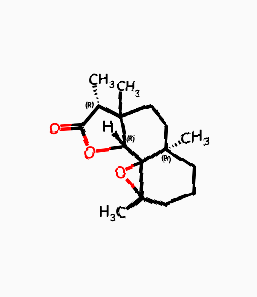 C[C@H]1C(=O)O[C@@H]2C1(C)CC[C@@]1(C)CCCC3(C)OC231